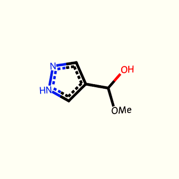 COC(O)c1cn[nH]c1